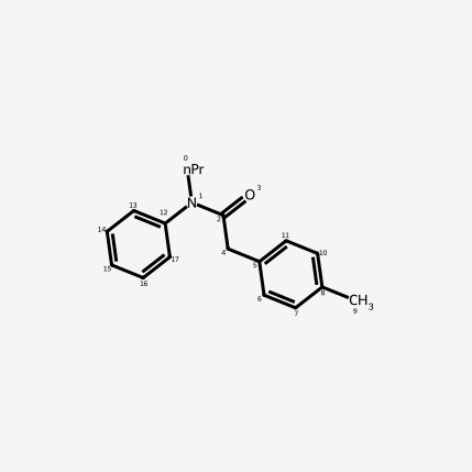 CCCN(C(=O)Cc1ccc(C)cc1)c1ccccc1